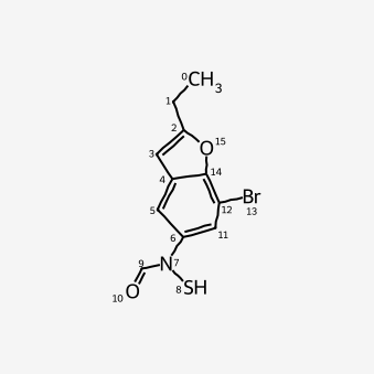 CCc1cc2cc(N(S)C=O)cc(Br)c2o1